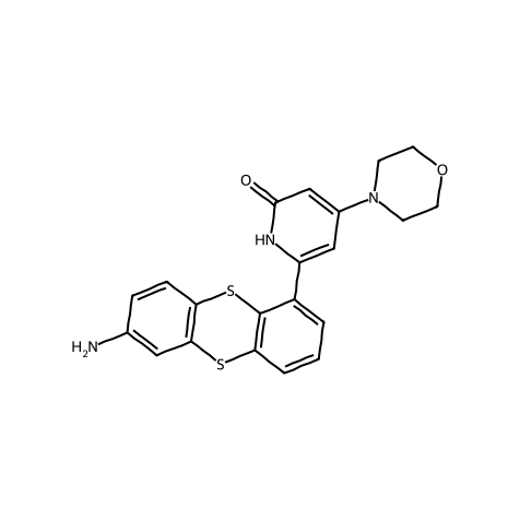 Nc1ccc2c(c1)Sc1cccc(-c3cc(N4CCOCC4)cc(=O)[nH]3)c1S2